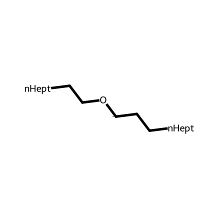 CCCCCCCCC[CH]OCCCCCCCCC